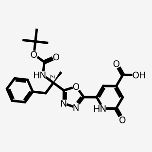 CC(C)(C)OC(=O)N[C@@](C)(Cc1ccccc1)c1nnc(-c2cc(C(=O)O)cc(=O)[nH]2)o1